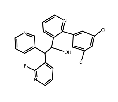 OC(c1cccnc1-c1cc(Cl)cc(Cl)c1)C(c1cccnc1)c1cccnc1F